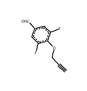 C#CCOc1c(F)cc([C]=O)cc1F